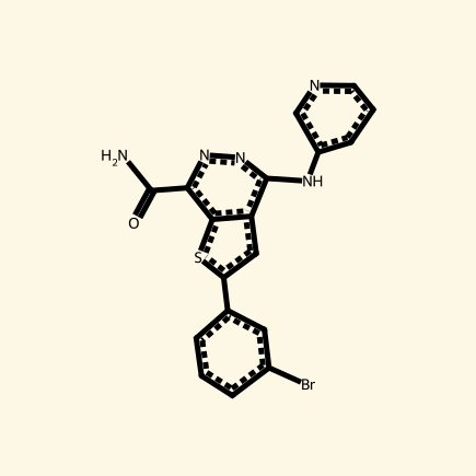 NC(=O)c1nnc(Nc2cccnc2)c2cc(-c3cccc(Br)c3)sc12